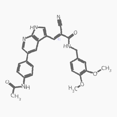 COc1ccc(CNC(=O)/C(C#N)=C/c2c[nH]c3ncc(-c4ccc(NC(C)=O)cc4)cc23)cc1OC